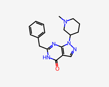 CN1CCCC(n2ncc3c(=O)[nH]c(Cc4ccccc4)nc32)C1